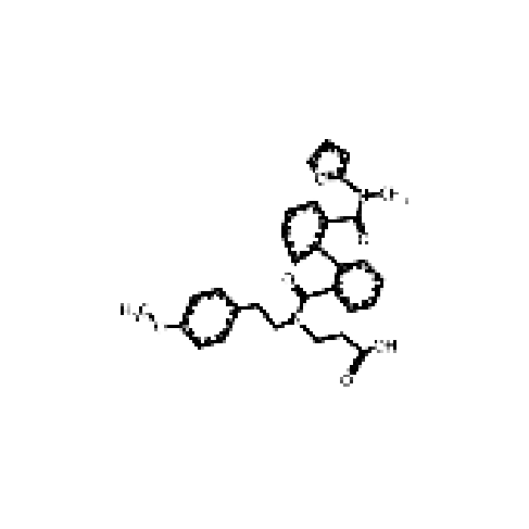 COc1ccc(CCN(CCC(=O)O)C(=O)c2ccccc2-c2ccccc2C(=O)N(C)c2ccco2)cc1